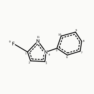 Fc1c[c]n(-c2ccccc2)n1